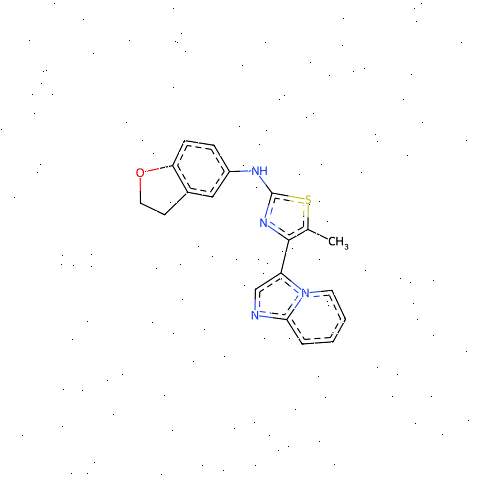 Cc1sc(Nc2ccc3c(c2)CCO3)nc1-c1cnc2ccccn12